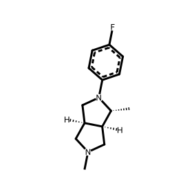 C[C@@H]1[C@H]2CN(C)C[C@H]2CN1c1ccc(F)cc1